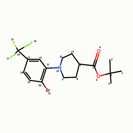 CC(C)(C)OC(=O)C1CCN(c2cc(C(F)(F)F)ccc2Br)CC1